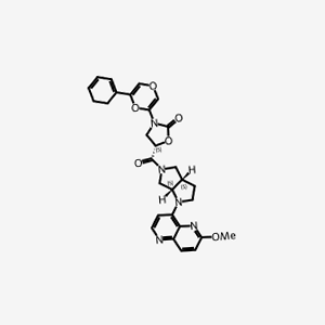 COc1ccc2nccc(N3CC[C@H]4CN(C(=O)[C@@H]5CN(C6=COC=C(C7=CC=CCC7)O6)C(=O)O5)C[C@H]43)c2n1